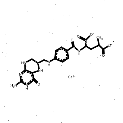 CC(CC(NC(=O)c1ccc(NCC2CNc3nc(N)[nH]c(=O)c3N2)cc1)C(=O)[O-])C(=O)[O-].[Ca+2]